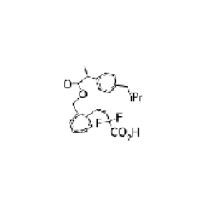 CC(C)Cc1ccc(C(C)C(=O)OCc2ccccc2C=CC(F)(F)C(=O)O)cc1